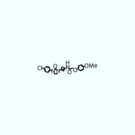 COc1ccc(OCC(=O)NC23CC(N4CCN(c5ccc(Cl)cc5)C4=O)(C2)C3)cc1